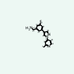 Cc1cc(-n2cc(-c3cc(F)cc(CN)c3)cn2)ccn1